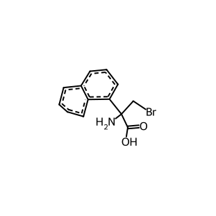 NC(CBr)(C(=O)O)c1cccc2ccccc12